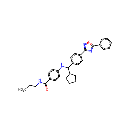 O=C(O)CCNC(=O)c1ccc(NC(c2ccc(-c3noc(-c4ccccc4)n3)cc2)C2CCCC2)cc1